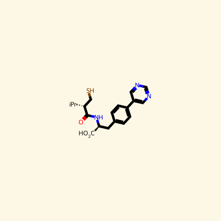 CC(C)[C@H](CS)C(=O)N[C@@H](Cc1ccc(-c2cncnc2)cc1)C(=O)O